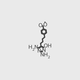 COC(=O)c1ccc(CCCCc2c(N)nc(N)nc2O)cc1